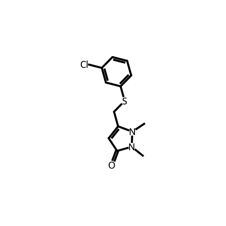 Cn1c(CSc2cccc(Cl)c2)cc(=O)n1C